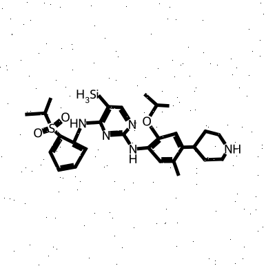 Cc1cc(Nc2ncc([SiH3])c(Nc3ccccc3S(=O)(=O)C(C)C)n2)c(OC(C)C)cc1C1CCNCC1